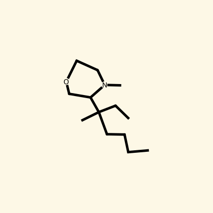 CCCCC(C)(CC)C1COCCN1C